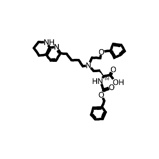 O=C(N[C@@H](CCN(CCCCc1ccc2c(n1)NCCC2)CCOc1ccccc1)C(=O)O)OCc1ccccc1